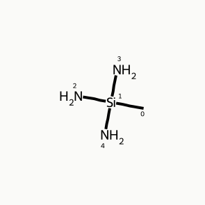 C[Si](N)(N)N